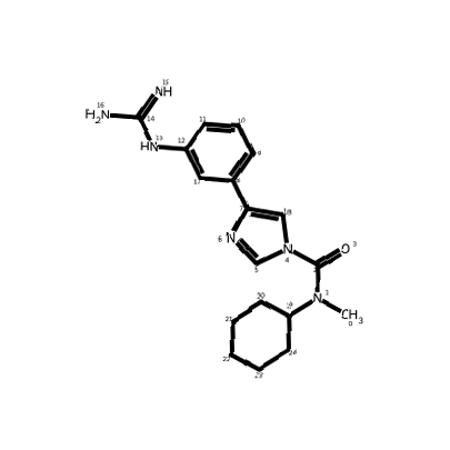 CN(C(=O)n1cnc(-c2cccc(NC(=N)N)c2)c1)C1CCCCC1